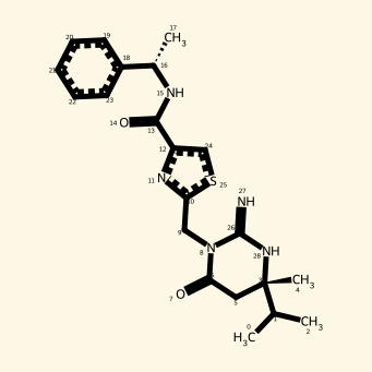 CC(C)[C@]1(C)CC(=O)N(Cc2nc(C(=O)N[C@@H](C)c3ccccc3)cs2)C(=N)N1